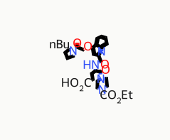 CCCCC1CCCN1C(=O)COc1cc(C(=O)NC(CCC(=O)O)C(=O)N2CCN(C(=O)OCC)CC2)nc2ccccc12